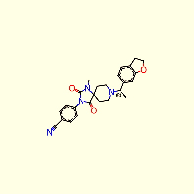 C[C@H](c1ccc2c(c1)OCC2)N1CCC2(CC1)C(=O)N(c1ccc(C#N)cc1)C(=O)N2C